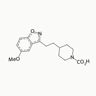 COc1ccc2onc(CCC3CCN(C(=O)O)CC3)c2c1